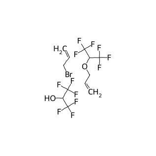 C=CCBr.C=CCOC(C(F)(F)F)C(F)(F)F.OC(C(F)(F)F)C(F)(F)F